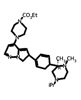 CCOC(=O)N1CCN(C2=CC=NN3CC(C4=CCC([C@]5(C)CN(C(C)C)CCN5C)C=C4)C=C23)CC1